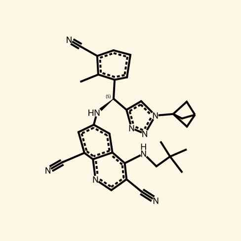 Cc1c(C#N)cccc1[C@H](Nc1cc(C#N)c2ncc(C#N)c(NCC(C)(C)C)c2c1)c1cn(C23CC(C2)C3)nn1